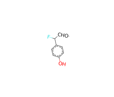 O=[C]C(F)c1ccc(O)cc1